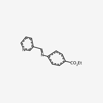 CCOC(=O)c1ccc(/N=C/c2cccnc2)cc1